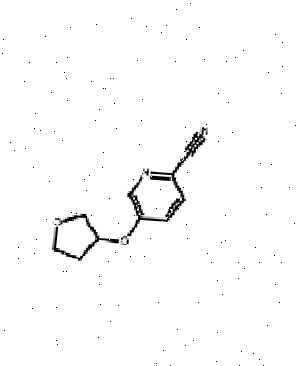 N#Cc1ccc(O[C@H]2CCOC2)cn1